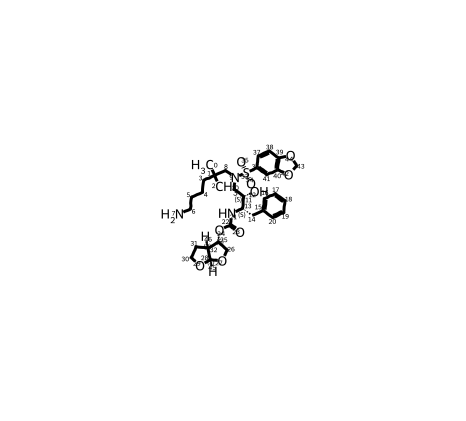 CC(C)(CCCCN)CN(C[C@H](O)[C@H](Cc1ccccc1)NC(=O)O[C@@H]1CO[C@@H]2OCC[C@@H]21)S(=O)(=O)c1ccc2c(c1)OCO2